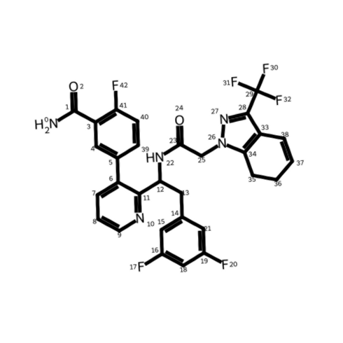 NC(=O)c1cc(-c2cccnc2C(Cc2cc(F)cc(F)c2)NC(=O)Cn2nc(C(F)(F)F)c3c2CCC=C3)ccc1F